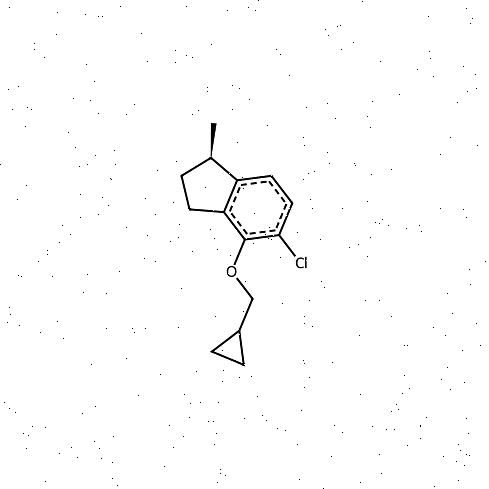 C[C@@H]1CCc2c1ccc(Cl)c2OCC1CC1